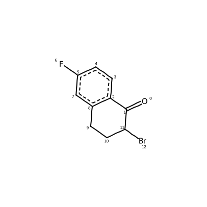 O=C1c2ccc(F)cc2CCC1Br